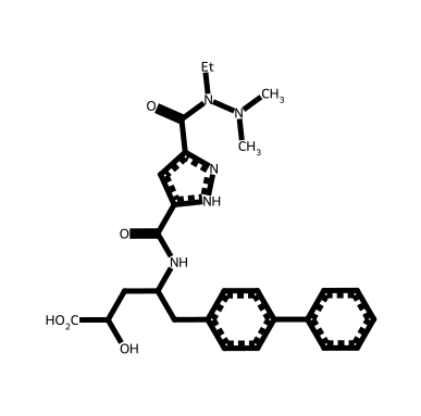 CCN(C(=O)c1cc(C(=O)NC(Cc2ccc(-c3ccccc3)cc2)CC(O)C(=O)O)[nH]n1)N(C)C